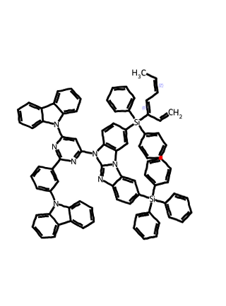 C=C/C(=C\C=C/C)[Si](c1ccccc1)(c1ccccc1)c1ccc2c(c1)n1c3cc([Si](c4ccccc4)(c4ccccc4)c4ccccc4)ccc3nc1n2-c1cc(-n2c3ccccc3c3ccccc32)nc(-c2cccc(-n3c4ccccc4c4ccccc43)c2)n1